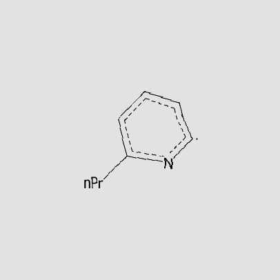 CCCc1ccc[c]n1